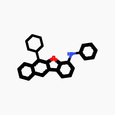 c1ccc(Nc2cccc3c2oc2c(C4CCCCC4)c4ccccc4cc23)cc1